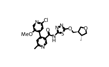 COc1cnc(Cl)cc1-c1cc(C)ncc1C(=O)Nc1nnc(OC[C@H]2COC[C@@H]2C)s1